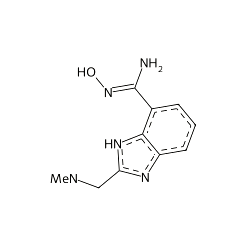 CNCc1nc2cccc(C(N)=NO)c2[nH]1